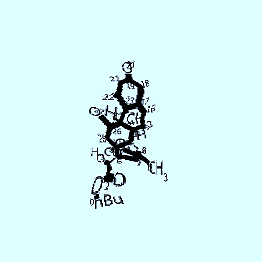 CCCCOC(=O)C(=O)[C@@]12CC[C@@]3(OC(C)O1)[C@@H]1CCC4=CC(=O)CC[C@]4(C)[C@H]1C(=O)C[C@]23C